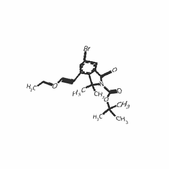 CCOC=Cc1cc(Br)cc2c1C(C)(C)N(C(=O)OC(C)(C)C)C2=O